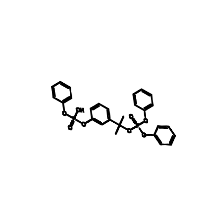 CC(C)(OP(=O)(Oc1ccccc1)Oc1ccccc1)c1cccc(OP(=O)(O)Oc2ccccc2)c1